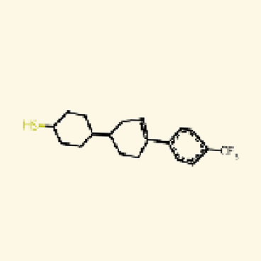 FC(F)(F)c1ccc(C2=CCC(C3CCC(S)CC3)CC2)cc1